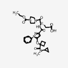 CCOC(=O)N1CCN(C(=O)[C@H](CCC(=O)O)NC(=O)c2cc(OC3(C(=O)N(C)C4CC4)CCC3)n(-c3ccccc3)n2)CC1